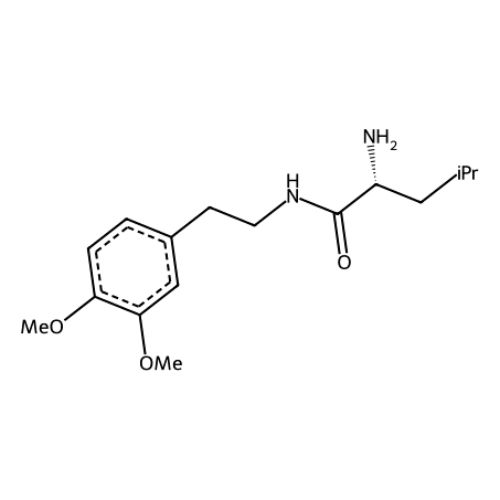 COc1ccc(CCNC(=O)[C@H](N)CC(C)C)cc1OC